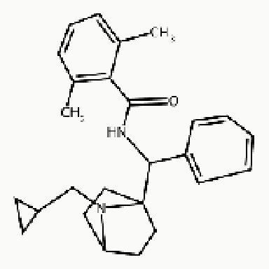 Cc1cccc(C)c1C(=O)NC(c1ccccc1)C12CCC(CC1)N2CC1CC1